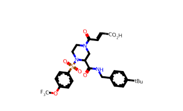 CC(C)(C)c1ccc(CNC(=O)C2CN(C(=O)C=CC(=O)O)CCN2S(=O)(=O)c2ccc(OC(F)(F)F)cc2)cc1